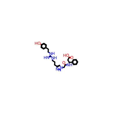 N=C(NCCCc1cn(CC(=O)NC(CC(=O)O)c2ccccc2)nn1)NCCc1ccc(O)cc1